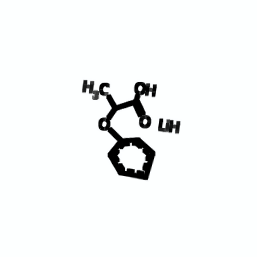 CC(Oc1ccccc1)C(=O)O.[LiH]